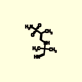 C/C(=C\NC(C)(C)C=N)S(N)(=O)=O